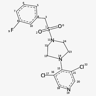 O=S(=O)(Cc1cccc(F)c1)N1CCN(c2c(Cl)cncc2Cl)CC1